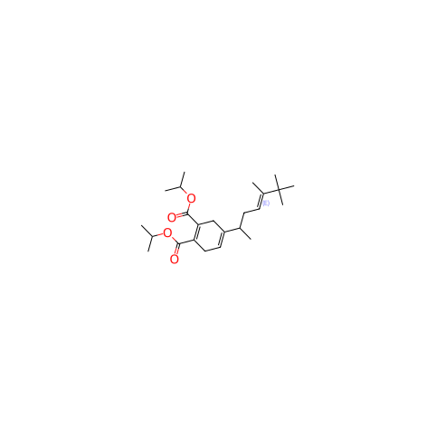 C/C(=C\CC(C)C1=CCC(C(=O)OC(C)C)=C(C(=O)OC(C)C)C1)C(C)(C)C